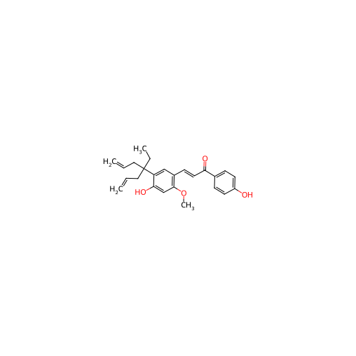 C=CCC(CC)(CC=C)c1cc(C=CC(=O)c2ccc(O)cc2)c(OC)cc1O